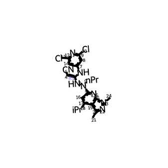 CCCN(N/C(=C/C#N)Nc1cc(Cl)nc(Cl)c1)c1cc(C(C)C)c2c(C)nn(C)c2n1